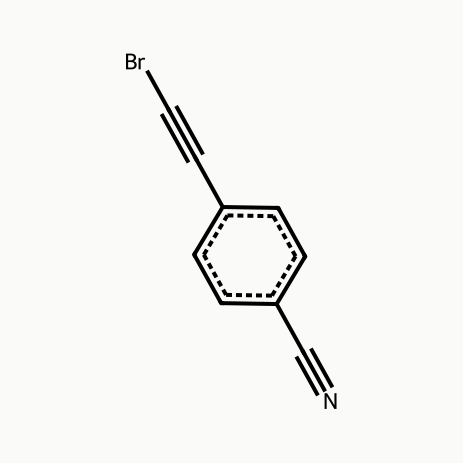 N#Cc1ccc(C#CBr)cc1